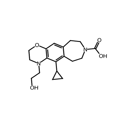 O=C(O)N1CCc2cc3c(c(C4CC4)c2CC1)N(CCO)CCO3